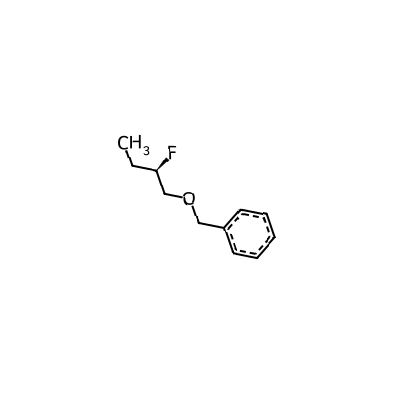 CC[C@@H](F)COCc1ccccc1